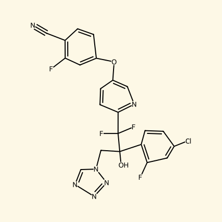 N#Cc1ccc(Oc2ccc(C(F)(F)C(O)(Cn3cnnn3)c3ccc(Cl)cc3F)nc2)cc1F